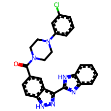 O=C(c1ccc2[nH]nc(-c3nc4ccccc4[nH]3)c2c1)N1CCN(c2cccc(Cl)c2)CC1